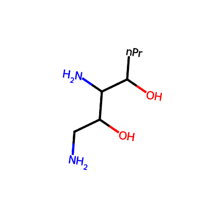 CCCC(O)C(N)C(O)CN